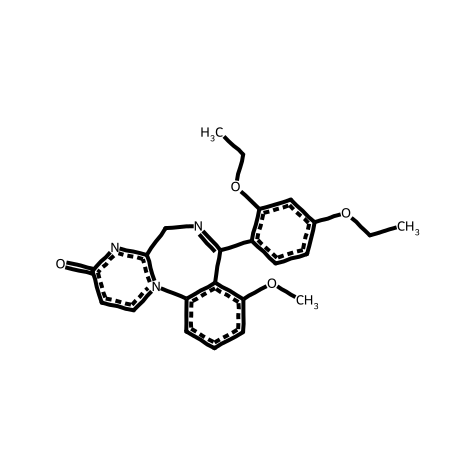 CCOc1ccc(C2=NCc3nc(=O)ccn3-c3cccc(OC)c32)c(OCC)c1